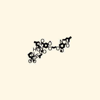 C=C1CC2C=Nc3cc(OCCCOc4cc5c(cc4OC)C(=O)N4CC(=C)C[C@H]4C(O)N5C(=O)OCC(C)SSc4ncccc4[N+](=O)[O-])c(OC)cc3C(=O)N2C1